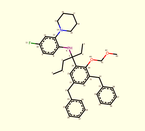 CCCC(CC)(Pc1ccc(F)cc1N1CCCCC1)c1cc(Cc2ccccc2)cc(Cc2ccccc2)c1OCOC